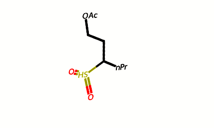 CCCC(CCOC(C)=O)[SH](=O)=O